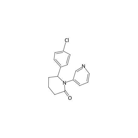 O=C1CCCC(c2ccc(Cl)cc2)N1c1cccnc1